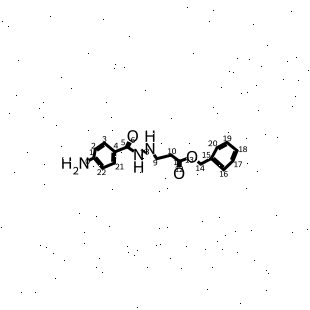 Nc1ccc(C(=O)NNCCC(=O)OCc2ccccc2)cc1